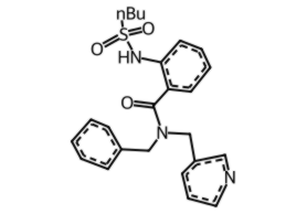 CCCCS(=O)(=O)Nc1ccccc1C(=O)N(Cc1ccccc1)Cc1cccnc1